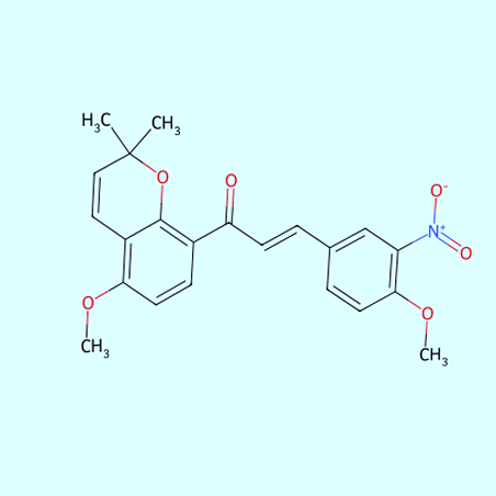 COc1ccc(C=CC(=O)c2ccc(OC)c3c2OC(C)(C)C=C3)cc1[N+](=O)[O-]